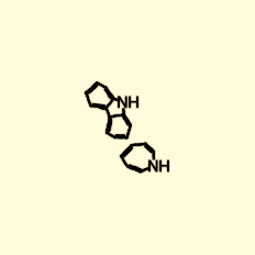 C1=CC=CNC=C1.c1ccc2c(c1)[nH]c1ccccc12